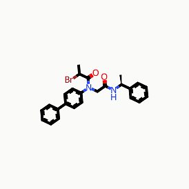 CC(Br)C(=O)N(CC(=O)N[C@@H](C)c1ccccc1)c1ccc(-c2ccccc2)cc1